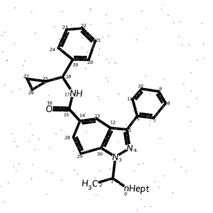 CCCCCCCC(C)n1nc(-c2ccccc2)c2cc(C(=O)NC(c3ccccc3)C3CC3)ccc21